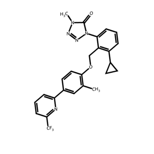 Cc1cc(-c2cccc(C(F)(F)F)n2)ccc1OCc1c(C2CC2)cccc1-n1nnn(C)c1=O